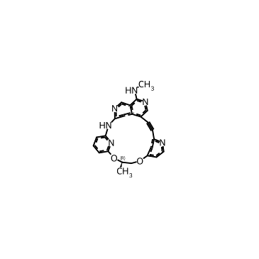 CNc1ncc2c3cc(ncc13)Nc1cccc(n1)O[C@H](C)COc1ccnc(c1)C#C2